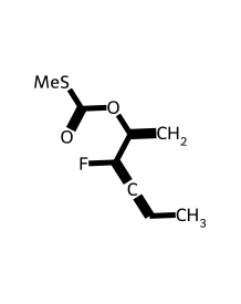 C=C(OC(=O)SC)C(F)=C=CC